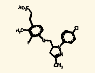 CC1=NN(c2ccc(Cl)cc2)C(COc2ccc(CCC(=O)O)c(C)c2F)C1